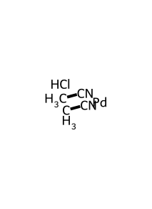 CC#N.CC#N.Cl.[Pd]